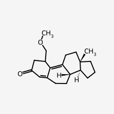 COCC1CC(=O)C=C2CC[C@@H]3C(=C21)CC[C@]1(C)CCC[C@@H]31